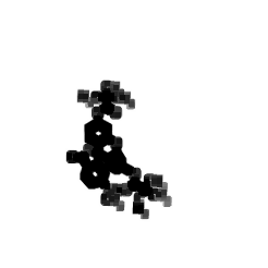 CNc1ccc2c(c1)C1(OC2=O)c2ccc(OC(=O)C(C)(C)C)cc2Oc2cc(OC(=O)C(C)(C)C)ccc21